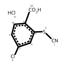 Cl.N#CSc1cc(Cl)ccc1C(=O)O